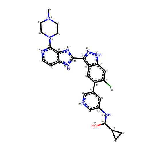 CN1CCN(c2nccc3[nH]c(-c4n[nH]c5cc(F)c(-c6cncc(NC(O)C7CC7)c6)cc45)nc23)CC1